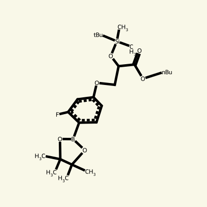 CCCCOC(=O)C(COc1ccc(B2OC(C)(C)C(C)(C)O2)c(F)c1)O[Si](C)(C)C(C)(C)C